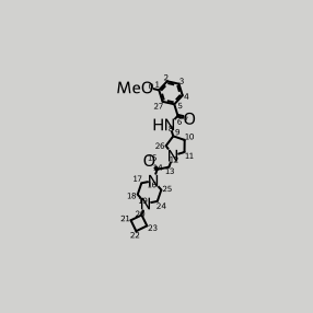 COc1cccc(C(=O)NC2CCN(CC(=O)N3CCN(C4CCC4)CC3)C2)c1